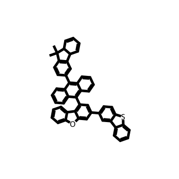 CC1(C)c2ccc(-c3c4ccccc4c(-c4cc(-c5ccc6sc7ccccc7c6c5)cc5oc6ccccc6c45)c4ccccc34)cc2C2C=CC=CC21